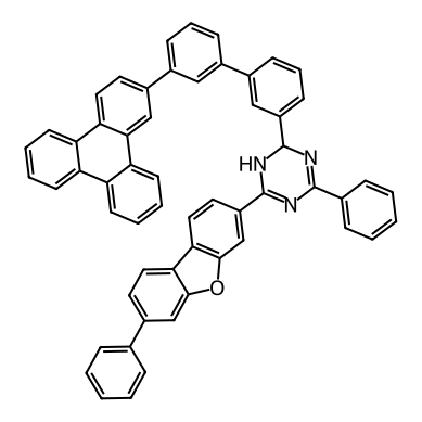 c1ccc(C2=NC(c3cccc(-c4cccc(-c5ccc6c7ccccc7c7ccccc7c6c5)c4)c3)NC(c3ccc4c(c3)oc3cc(-c5ccccc5)ccc34)=N2)cc1